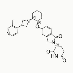 Cc1cnccc1C1CN([C@H]2CCCC[C@H]2Oc2ccc3c(c2)CN([C@@H]2CCC(=O)NC2=O)C3=O)C1